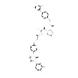 Cc1ncsc1-c1ccc(CNC(=O)[C@@H]2C[C@@H](O)CN2C(=O)[C@@H](NC(=O)COc2ccc(N3C(=S)N(c4ccc(C#N)c(C)c4F)C(=O)C3(C)C)cn2)C(C)(C)C)cc1